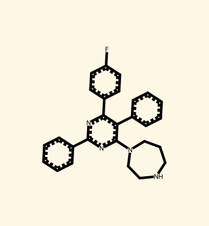 Fc1ccc(-c2nc(-c3ccccc3)nc(N3CCCNCC3)c2-c2ccccc2)cc1